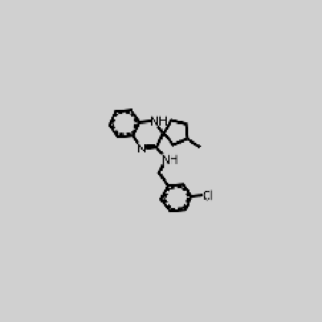 CC1CCC2(C1)Nc1ccccc1N=C2NCc1cccc(Cl)c1